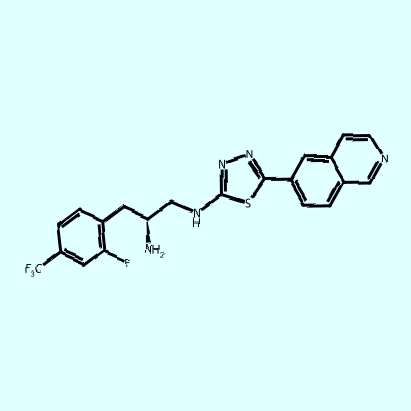 N[C@H](CNc1nnc(-c2ccc3cnccc3c2)s1)Cc1ccc(C(F)(F)F)cc1F